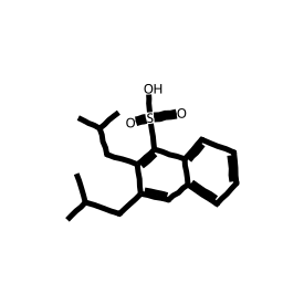 CC(C)Cc1cc2ccccc2c(S(=O)(=O)O)c1CC(C)C